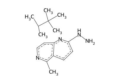 CC(C)C(C)(C)C.Cc1nccc2nc(NN)ccc12